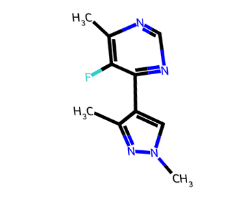 Cc1nn(C)cc1-c1ncnc(C)c1F